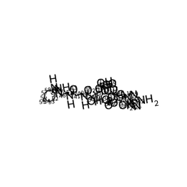 CC(C)(COP(=O)(O)OP(=O)(O)OCC1OC(n2cnc3c(N)ncnc32)C(O)C1OP(=O)(O)O)C(O)C(=O)NCCC(=O)NCCN1NNC2=C1CCC1CC1CC2